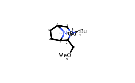 COCC1C2CCC(CN1C(C)(C)C)N2C(C)(C)C